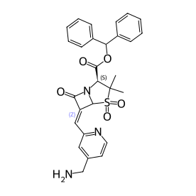 CC1(C)[C@H](C(=O)OC(c2ccccc2)c2ccccc2)N2C(=O)/C(=C/c3cc(CN)ccn3)C2S1(=O)=O